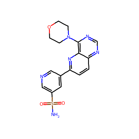 NS(=O)(=O)c1cncc(-c2ccc3ncnc(N4CCOCC4)c3n2)c1